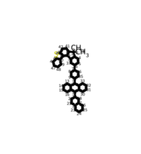 CC1(C)c2ccc(-c3ccc(-c4c5ccccc5c(-c5ccc6ccccc6c5)c5ccccc45)cc3)cc2-c2c1ccc1sc3ccccc3c21